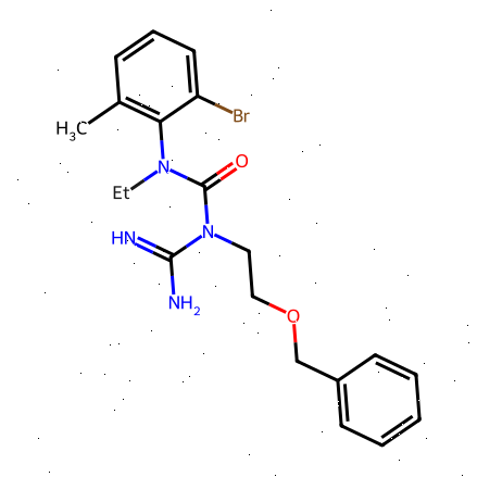 CCN(C(=O)N(CCOCc1ccccc1)C(=N)N)c1c(C)cccc1Br